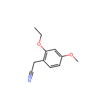 CCOc1cc(OC)ccc1CC#N